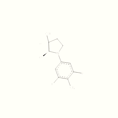 CC[C@@H]1N(c2cc(F)c(C#N)c(F)c2)CC[C@]1(C)O